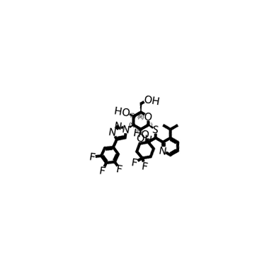 CC(C)c1cccnc1C(S[C@@H]1O[C@H](CO)[C@H](O)[C@H](n2cc(-c3cc(F)c(F)c(F)c3)nn2)[C@H]1O)C1(O)CCC(F)(F)CC1